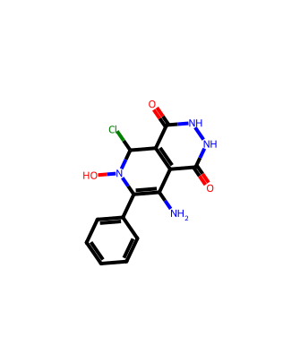 NC1=C(c2ccccc2)N(O)C(Cl)c2c1c(=O)[nH][nH]c2=O